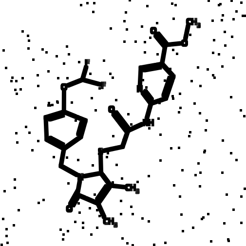 COC(=O)c1ccc(NC(=O)CSC2C(C)=C(C)C(=O)N2Cc2ccc(OC(F)F)cc2)nc1